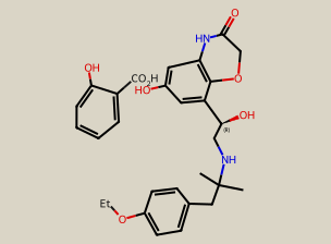 CCOc1ccc(CC(C)(C)NC[C@H](O)c2cc(O)cc3c2OCC(=O)N3)cc1.O=C(O)c1ccccc1O